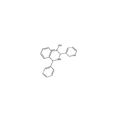 OP(O)C(NC(c1ccccc1)c1ccccc1)c1cccnc1